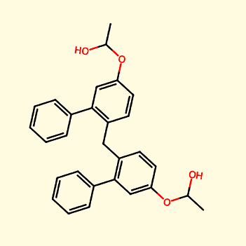 CC(O)Oc1ccc(Cc2ccc(OC(C)O)cc2-c2ccccc2)c(-c2ccccc2)c1